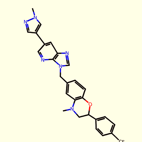 CN1CC(c2ccc(C(F)(F)F)cc2)Oc2ccc(Cn3cnc4cc(-c5cnn(C)c5)cnc43)cc21